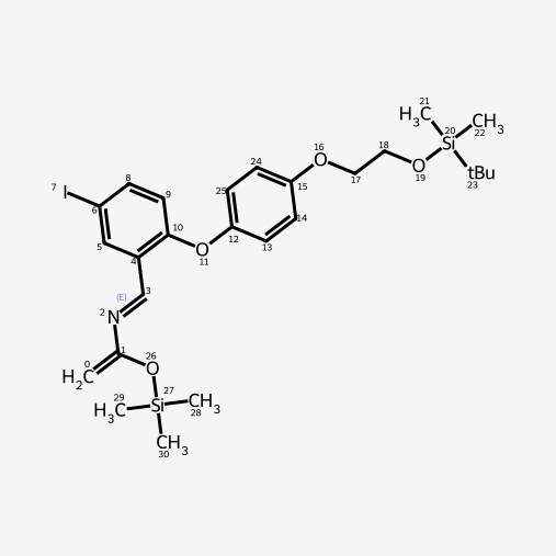 C=C(/N=C/c1cc(I)ccc1Oc1ccc(OCCO[Si](C)(C)C(C)(C)C)cc1)O[Si](C)(C)C